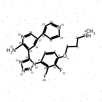 CNCCCOc1ccc(-n2nnnc2-c2cc(-c3ccncc3)cnc2N)c(F)c1F